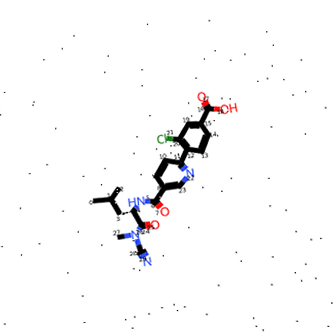 CC(C)C[C@H](NC(=O)c1ccc(-c2ccc(C(=O)O)cc2Cl)nc1)C(=O)N(C)C#N